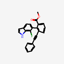 COC(=O)c1cccc(C#Cc2ccccc2)c1-c1ccc2cc[nH]c2c1F